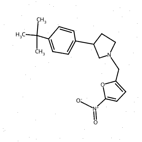 CC(C)(C)c1ccc(C2CCN(Cc3ccc([N+](=O)[O-])o3)C2)cc1